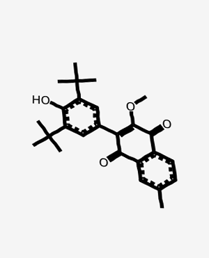 COC1=C(c2cc(C(C)(C)C)c(O)c(C(C)(C)C)c2)C(=O)c2cc(C)ccc2C1=O